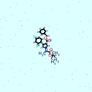 CN(C(=O)OC(C)(C)C)[C@H]1C[C@@H](C(=O)OCc2ccccc2)[C@H](c2ccc(F)cc2F)C1